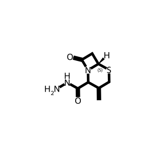 C=C1CS[C@H]2CC(=O)N2C1C(=O)NN